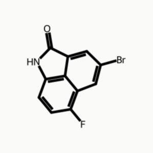 O=C1Nc2ccc(F)c3cc(Br)cc1c23